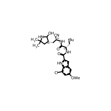 COc1cc(Cl)c2[nH]c(C(=O)N[C@@H](CC(C)(C)C)C(=O)N[C@H](C#N)C[C@@H]3CC(C)(C)NC3O)cc2c1